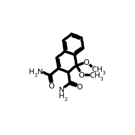 COC1(OC)c2ccccc2C=C(C(N)=O)C1C(N)=O